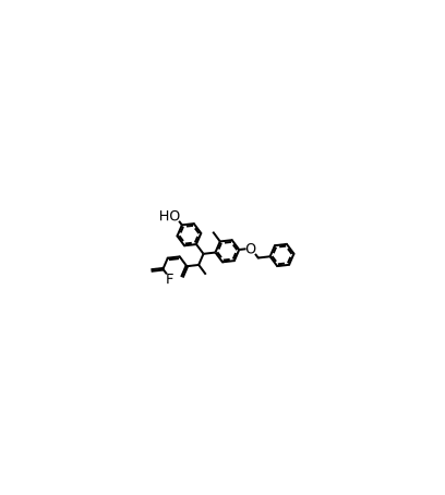 C=C(F)/C=C\C(=C)C(C)C(c1ccc(O)cc1)c1ccc(OCc2ccccc2)cc1C